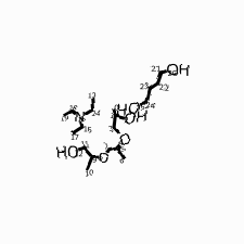 CC(O)COC(C)COC(C)CO.CCN(CC)CC.OCCCCO